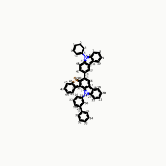 C1=CCCC(n2c3ccccc3c3cc(-c4cc5c6ccccc6n(-c6cccc(-c7ccccc7)c6)c5c5c4sc4ccccc45)ccc32)=C1